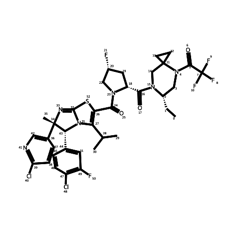 CC[C@H]1CN(C(=O)C(F)(F)F)C2(CC2)CN1C(=O)[C@H]1C[C@@H](F)CN1C(=O)C1=C(C(C)C)N2C(=N[C@@](C)(c3ccc(Cl)nc3)[C@H]2c2ccc(Cl)c(F)c2)S1